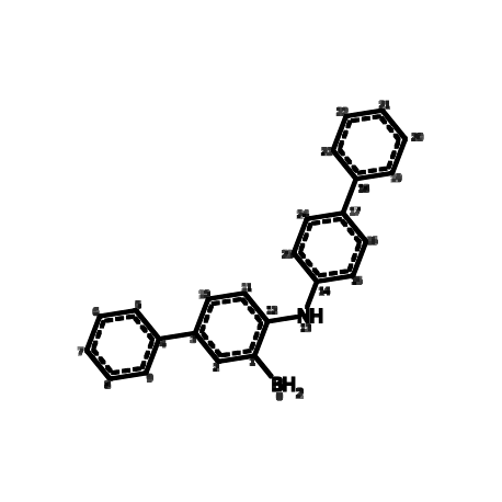 Bc1cc(-c2ccccc2)ccc1Nc1ccc(-c2ccccc2)cc1